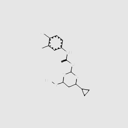 O=C(Nc1ccc(Cl)c(Cl)c1)NC1NC(NO)CC(C2CC2)N1